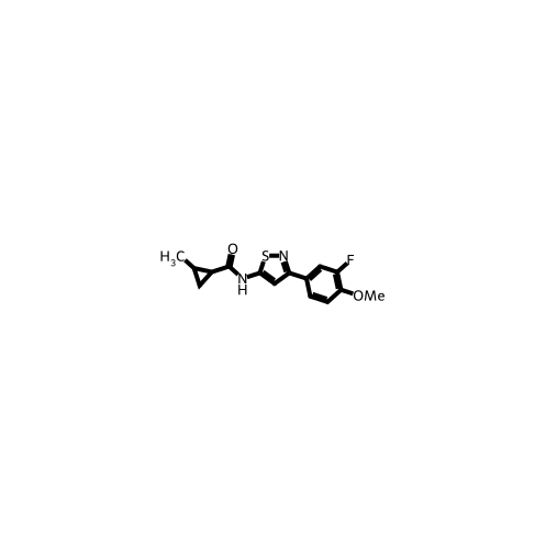 COc1ccc(-c2cc(NC(=O)C3CC3C)sn2)cc1F